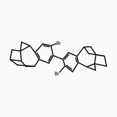 Brc1cc2c(cc1-c1cc3c(cc1Br)C1CC14CC1CC3CC14)C1CC3CC4(CC24)C3C1